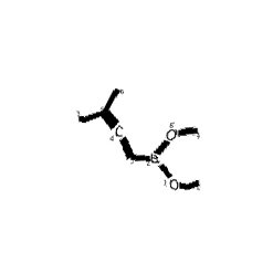 COB(C=C=C(C)C)OC